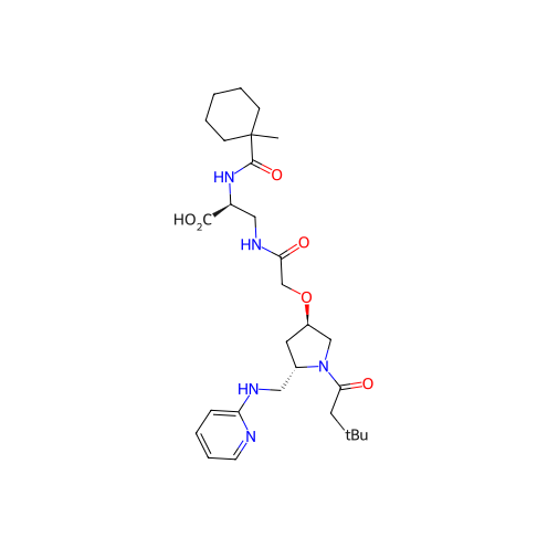 CC(C)(C)CC(=O)N1C[C@H](OCC(=O)NC[C@H](NC(=O)C2(C)CCCCC2)C(=O)O)C[C@H]1CNc1ccccn1